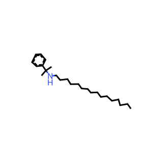 CCCCCCCCCCCCCCCCNC(C)(C)c1ccccc1